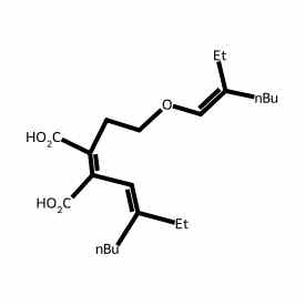 CCCCC(=COCC/C(C(=O)O)=C(\C=C(CC)CCCC)C(=O)O)CC